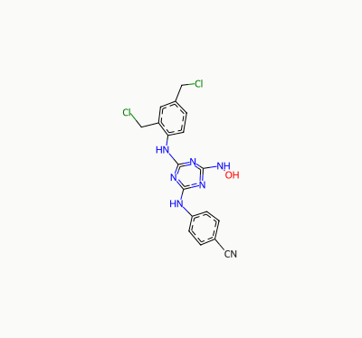 N#Cc1ccc(Nc2nc(NO)nc(Nc3ccc(CCl)cc3CCl)n2)cc1